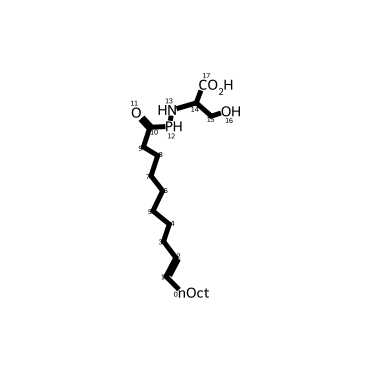 CCCCCCCCC=CCCCCCCCC(=O)PNC(CO)C(=O)O